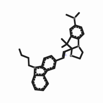 CCCCn1c2ccccc2c2cc(/C=C/C34OCCN3c3ccc(N(C)C)cc3C4(C)C)ccc21